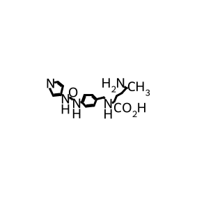 CC(N)CCC(NCc1ccc(NC(=O)Nc2ccncc2)cc1)C(=O)O